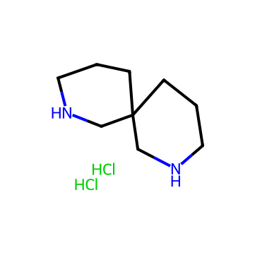 C1CNCC2(C1)CCCNC2.Cl.Cl